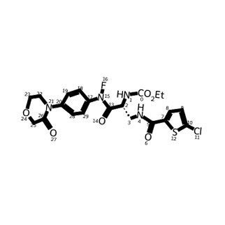 CCOC(=O)N[C@H](CNC(=O)c1ccc(Cl)s1)C(=O)N(F)c1ccc(N2CCOCC2=O)cc1